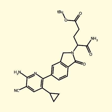 CC(C)(C)OC(=O)CCC(C(N)=O)N1Cc2cc(-c3nc(N)c(C#N)cc3C3CC3)ccc2C1=O